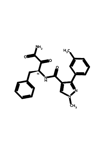 Cc1cccc(-c2nn(C)cc2C(=O)N[C@@H](Cc2ccccc2)C(=O)C(N)=O)c1